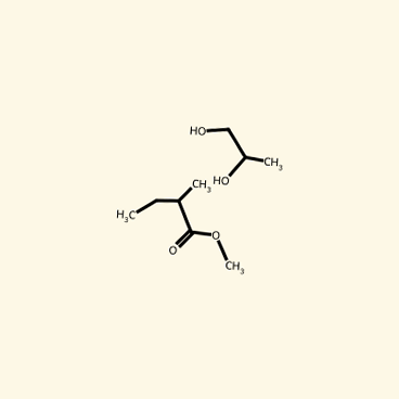 CC(O)CO.CCC(C)C(=O)OC